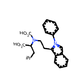 CC(C)CC(C(=O)O)N(CCc1c2ccccc2cn1-c1ccccc1)C(=O)O